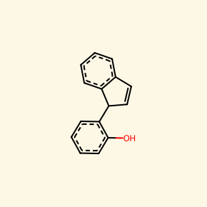 Oc1ccccc1C1C=Cc2ccccc21